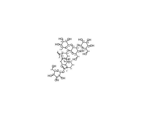 C=C1C[C@@]23CCC4[C@](C)(C(=O)OC5OC(CO)C(O)C(O)C5O)CCC[C@@]4(C)[C@@H]2CC(OC2OC(CO)C(O)C(OC4OC(CO)C(O)C(O)C4O)C2OC2OC(C)C(O)C(O)C2O)C1C3